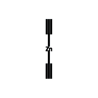 C#[C][Zn][C]#C